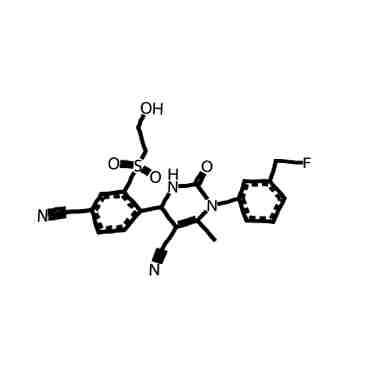 CC1=C(C#N)C(c2ccc(C#N)cc2S(=O)(=O)CCO)NC(=O)N1c1cccc(CF)c1